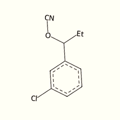 CCC(OC#N)c1cccc(Cl)c1